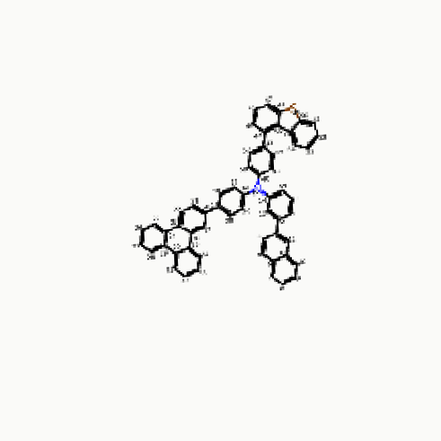 c1cc(-c2ccc3ccccc3c2)cc(N(c2ccc(-c3ccc4c5ccccc5c5ccccc5c4c3)cc2)c2ccc(-c3cccc4sc5ccccc5c34)cc2)c1